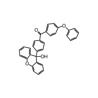 O=C(c1ccc(Oc2ccccc2)cc1)c1ccc(C2(O)c3ccccc3Oc3ccccc32)cc1